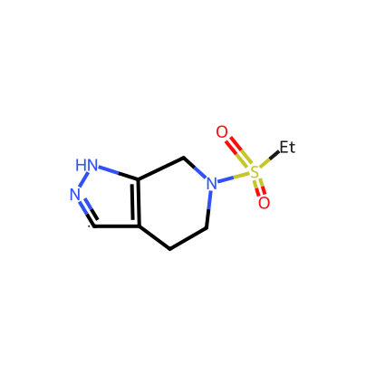 CCS(=O)(=O)N1CCc2[c]n[nH]c2C1